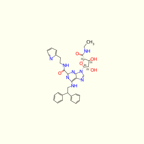 CCNC(=O)[C@H]1O[C@@H](n2cnc3c(NCC(c4ccccc4)c4ccccc4)nc(C(=O)NCCc4ccccn4)nc32)[C@@H](O)[C@@H]1O